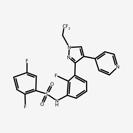 O=S(=O)(Nc1cccc(-c2nn(CC(F)(F)F)cc2-c2ccncc2)c1F)c1cc(F)ccc1F